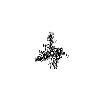 CN(C(=O)OC(C)(C)C)[C@@H]1[C@@H](O)[C@@H](O[C@@H]2[C@@H](O)[C@H](OC3OC(CN)=CC[C@H]3NCC(O)CO)[C@@H](NC(=O)OC(C)(C)C)C[C@H]2NC(=O)[C@@H](O)CCNC(=O)OC(C)(C)C)OC[C@]1(C)O